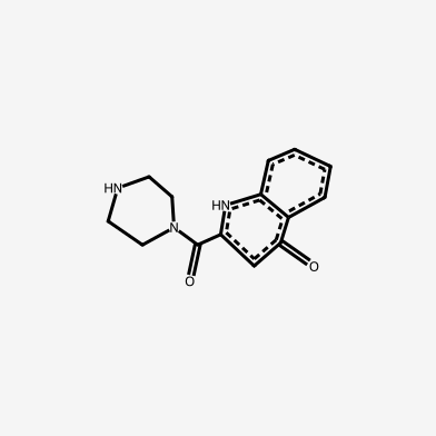 O=C(c1cc(=O)c2ccccc2[nH]1)N1CCNCC1